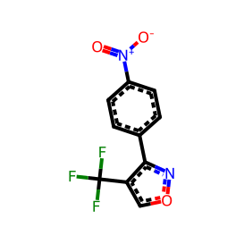 O=[N+]([O-])c1ccc(-c2nocc2C(F)(F)F)cc1